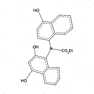 CCOC(=O)N(c1ccc(O)c2ccccc12)c1c(O)cc(O)c2ccccc12